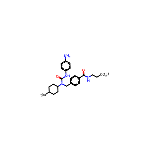 CC(C)(C)C1CCC(N(Cc2ccc(C(=O)NCCC(=O)O)cc2)C(=O)Nc2ccc(N)cc2)CC1